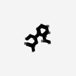 CCC(CC(C)=O)c1ccccc1OC